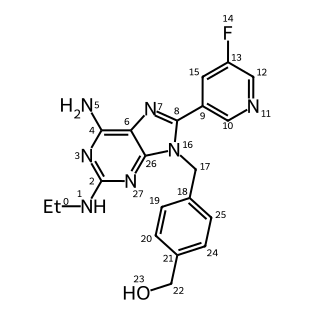 CCNc1nc(N)c2nc(-c3cncc(F)c3)n(Cc3ccc(CO)cc3)c2n1